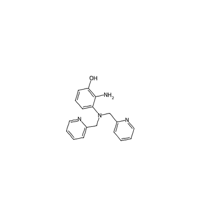 Nc1c(O)cccc1N(Cc1ccccn1)Cc1ccccn1